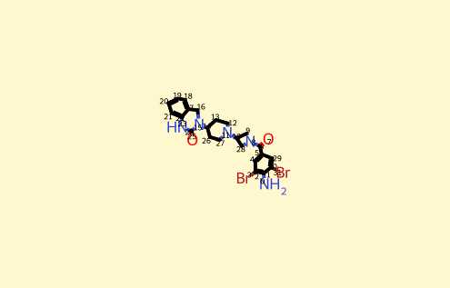 Nc1c(Br)cc(C(=O)N2CC(N3CCC(N4Cc5ccccc5NC4=O)CC3)C2)cc1Br